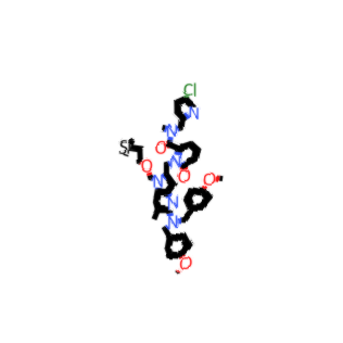 COc1ccc(CN(Cc2ccc(OC)cc2)c2nc3cc(Cn4c(C(=O)N(C)Cc5ccc(Cl)cn5)cccc4=O)n(COCC[Si](C)(C)C)c3cc2C)cc1